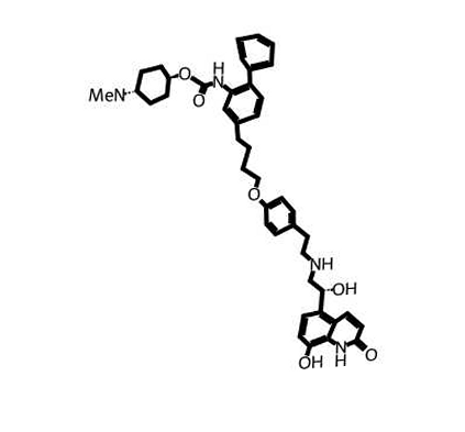 CN[C@H]1CC[C@H](OC(=O)Nc2cc(CCCCOc3ccc(CCNC[C@H](O)c4ccc(O)c5[nH]c(=O)ccc45)cc3)ccc2-c2ccccc2)CC1